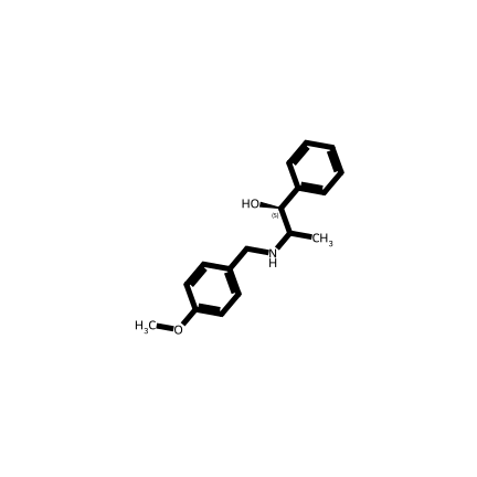 COc1ccc(CNC(C)[C@@H](O)c2ccccc2)cc1